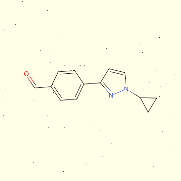 O=Cc1ccc(-c2ccn(C3CC3)n2)cc1